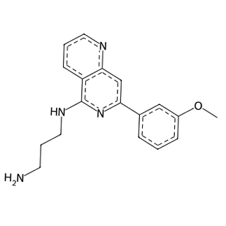 COc1cccc(-c2cc3ncccc3c(NCCCN)n2)c1